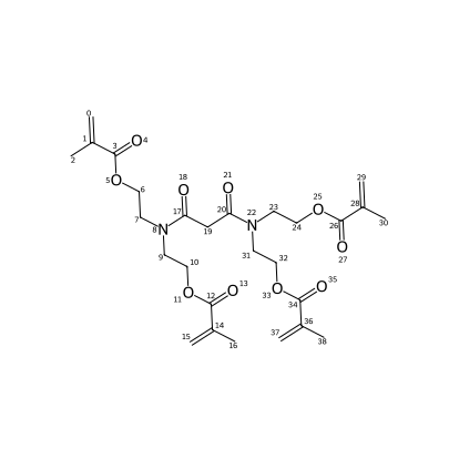 C=C(C)C(=O)OCCN(CCOC(=O)C(=C)C)C(=O)CC(=O)N(CCOC(=O)C(=C)C)CCOC(=O)C(=C)C